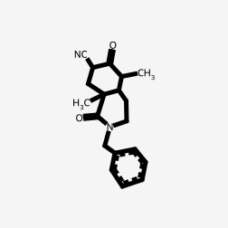 CC1C(=O)C(C#N)CC2(C)C(=O)N(Cc3ccccc3)CCC12